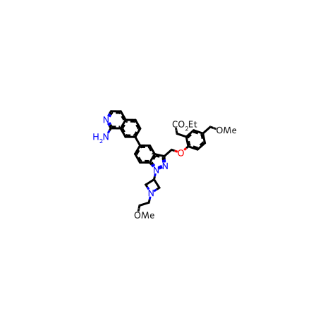 CCOC(=O)Cc1cc(COC)ccc1OCc1nn(C2CN(CCOC)C2)c2ccc(-c3ccc4ccnc(N)c4c3)cc12